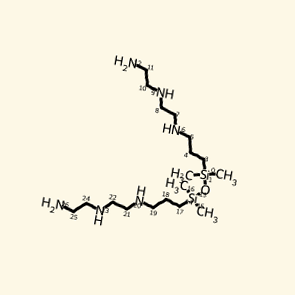 C[Si](C)(CCCNCCNCCN)O[Si](C)(C)CCCNCCNCCN